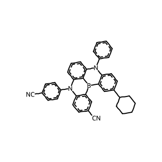 N#Cc1ccc(N2c3ccc(C#N)cc3B3c4cc(C5CCCCC5)ccc4N(c4ccccc4)c4cccc2c43)cc1